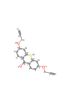 C#CCOc1ccc2c(=O)c3ccc(OCC#C)cc3sc2c1